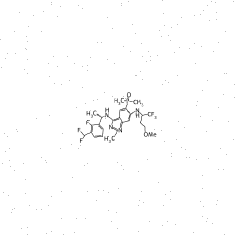 COCCC(Nc1cc2nc(C)nc(NC(C)c3cccc(C(F)F)c3F)c2cc1P(C)(C)=O)C(F)(F)F